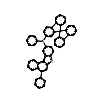 c1ccc(-c2cc3oc4ccc(N(c5ccccc5)c5ccc6c(c5)C5(c7ccccc7-c7ccccc75)c5ccccc5-6)cc4c3c3ccccc23)cc1